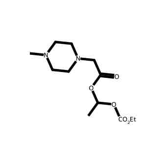 CCOC(=O)OC(C)OC(=O)CN1CCN(C)CC1